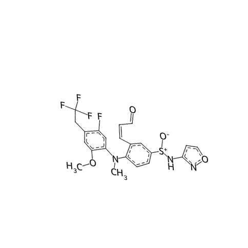 COc1cc(CC(F)(F)F)c(F)cc1N(C)c1ccc([S+]([O-])Nc2ccon2)cc1/C=C\C=O